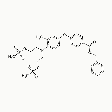 Cc1cc(Oc2ccc(C(=O)OCc3ccccc3)cc2)ccc1N(CCOS(C)(=O)=O)CCOS(C)(=O)=O